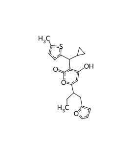 CCC(Cc1ccco1)c1cc(O)c(C(c2ccc(C)s2)C2CC2)c(=O)o1